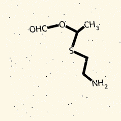 CC(O[C]=O)SCCN